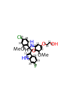 [2H]C(Nc1cc(OC)cc(OCCO)c1)(C(=O)c1c[nH]c2cc(F)ccc12)c1ccc(Cl)cc1OC